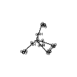 C=C(CCCCCCCNC(=O)CCOCC(COCCC(=O)NCCCCCCCC(=O)ON1C(=O)CCC1=O)(COCCC(=O)NCCCCCCCC(=O)ON1C(=O)CCC1=O)COCCC(=O)NCCCCCCCC(=O)ON1C(=O)CCC1=O)ON1C(=O)CCC1=O